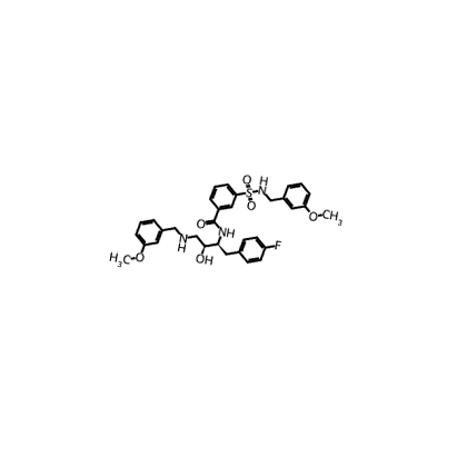 COc1cccc(CNC[C@H](O)[C@H](Cc2ccc(F)cc2)NC(=O)c2cccc(S(=O)(=O)NCc3cccc(OC)c3)c2)c1